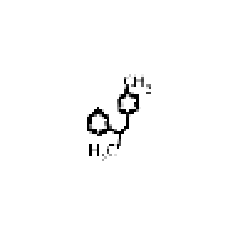 [CH2]CC(Cc1ccc(C)cc1)c1ccccc1